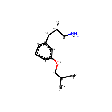 CCCC(CCC)COc1cccc(C[C@H](C)CN)c1